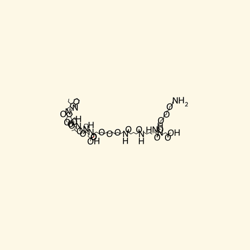 CCc1c2c(nc3ccccc13)-c1cc3c(c(=O)n1C2)COC(=O)[C@@]3(CC)OC(=O)[C@@H](NC(=O)[C@@H]1CCCN1C(=O)[C@H](CC(=O)O)NC(=O)CCOCCOCCOCCNC(=O)CCCC(=O)NCCCC[C@H](NC(=O)CCOCCOCCOCCN)C(=O)NCCC(=O)O)C(C)C